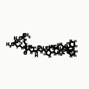 CN(C)CCCN(CCCN(C)C)C(=O)[C@@H]1CC(NC(=O)CCC2CCC3C4CCC5C[C@H](O[Si](c6ccccc6)(c6ccccc6)C(C)(C)C)CC[C@]5(C)C4CC[C@]23C)CN1